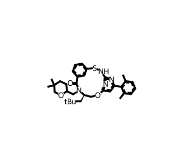 Cc1cccc(C)c1-c1cc2nc(n1)NSc1cccc(c1)C(=O)N(CC1CCC(C)(C)CO1)[C@H](CC(C)(C)C)CO2